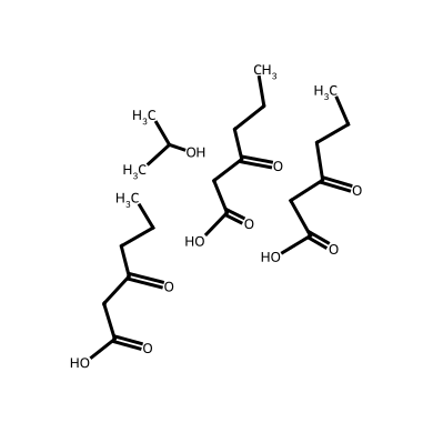 CC(C)O.CCCC(=O)CC(=O)O.CCCC(=O)CC(=O)O.CCCC(=O)CC(=O)O